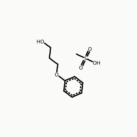 CS(=O)(=O)O.OCCCOc1ccccc1